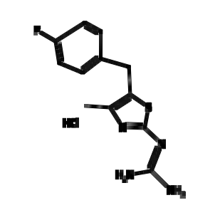 Cc1nc(N=C(N)N)sc1Cc1ccc(F)cc1.Cl